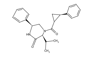 CC(C)[C@H]1C(=O)N[C@@H](c2ccccc2)CN1C(=O)C1C[C@H]1c1ccccc1